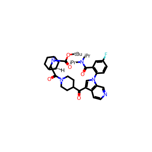 CC(C)N(C(=O)c1cc(F)ccc1-n1cc(C(=O)C2CCN(C(=O)[C@H]3C4CCC(CC4)N3C(=O)OC(C)(C)C)CC2)c2ccncc21)C(C)C